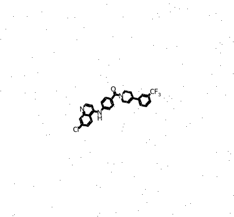 O=C(c1ccc(Nc2ccnc3cc(Cl)ccc23)cc1)N1CC=C(c2cccc(C(F)(F)F)c2)CC1